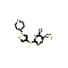 FC(F)(F)c1cnc(Nc2cnn(C3CCOCC3)c2)nc1Cl